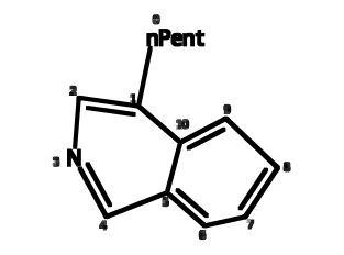 CCCCCc1cncc2ccccc12